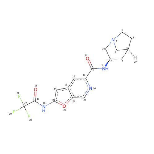 O=C(N[C@@H]1C[C@@H]2CCN(C2)C1)c1cc2cc(NC(=O)C(F)(F)F)oc2cn1